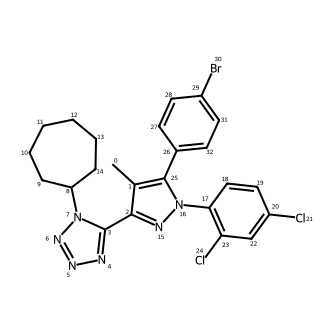 Cc1c(-c2nnnn2C2CCCCCC2)nn(-c2ccc(Cl)cc2Cl)c1-c1ccc(Br)cc1